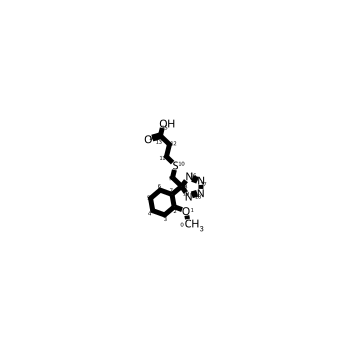 COC1CCCCC1C1(CSCCC(=O)O)N=NN=N1